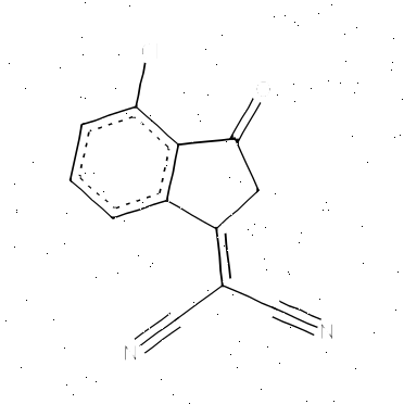 N#CC(C#N)=C1CC(=O)c2c(Cl)cccc21